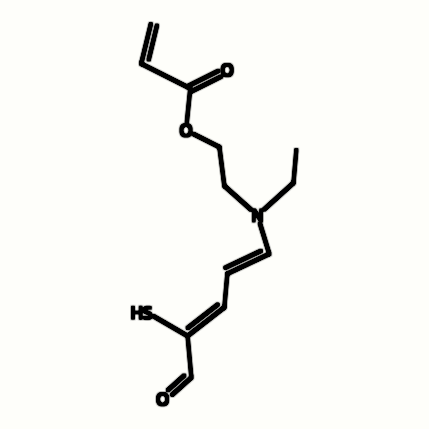 C=CC(=O)OCCN(/C=C/C=C(\S)C=O)CC